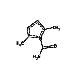 Cc1ccc(C)n1C(N)=O